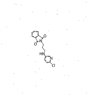 O=C1c2ccccc2C(=O)N1CCCNc1ccc(Cl)nc1